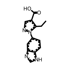 CCc1c(C(=O)O)cnn1-c1ccc2[nH]cnc2c1